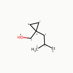 CCC(C)CC1(CO)CC1